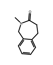 CN1Cc2ccccc2C[C]C1=O